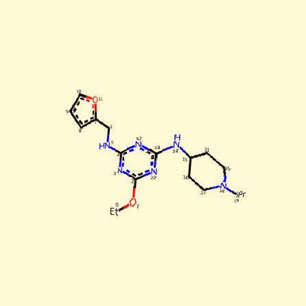 CCOc1nc(NCc2ccco2)nc(NC2CCN(C(C)C)CC2)n1